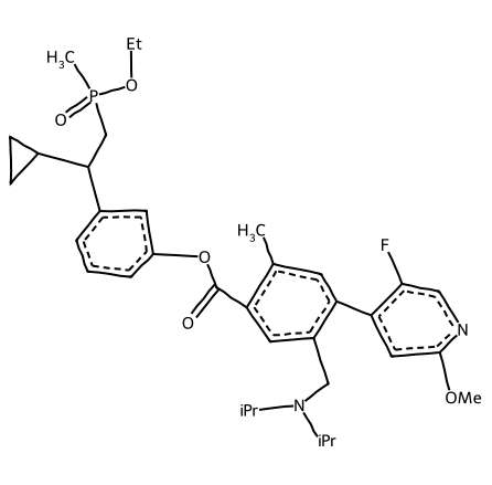 CCOP(C)(=O)CC(c1cccc(OC(=O)c2cc(CN(C(C)C)C(C)C)c(-c3cc(OC)ncc3F)cc2C)c1)C1CC1